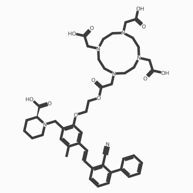 Cc1cc(CN2CCCC[C@H]2C(=O)O)c(OCCOC(=O)CN2CCN(CC(=O)O)CCN(CC(=O)O)CCN(CC(=O)O)CC2)cc1/C=C/c1cccc(-c2ccccc2)c1C#N